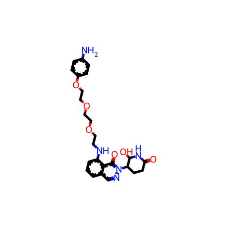 Nc1ccc(OCCOCCOCCNc2cccc3cnn(C4CCC(=O)NC4O)c(=O)c23)cc1